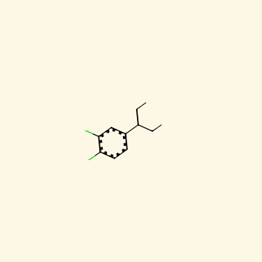 O=C(O)CC(CC(=O)O)c1ccc(Cl)c(Cl)c1